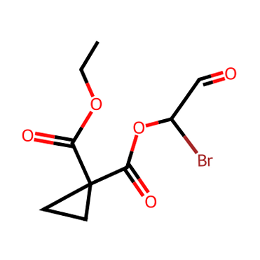 CCOC(=O)C1(C(=O)OC(Br)C=O)CC1